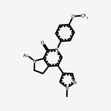 CC(=O)N1CCc2c(-c3cnn(C)c3)cn(-c3ccc(OC(F)(F)F)cc3)c(=O)c21